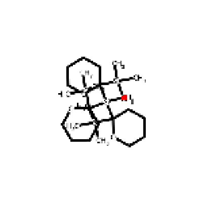 C[Si](C)(C)C1([Si](C)(C2([Si](C)(C)C)CCCCO2)C2([Si](C)(C)C)CCCCO2)CCCCO1